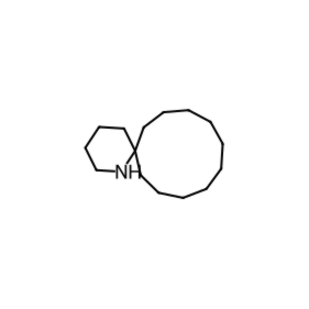 C1CCCCCC2(CCCC1)CCCCN2